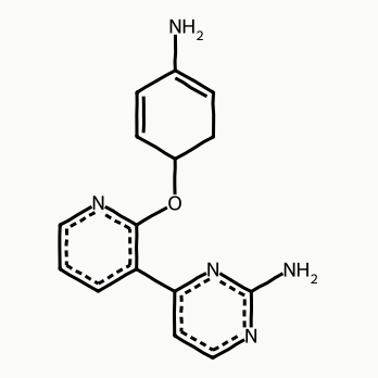 NC1=CCC(Oc2ncccc2-c2ccnc(N)n2)C=C1